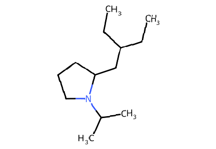 CCC(CC)CC1CCCN1C(C)C